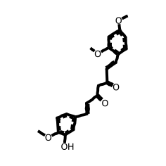 COc1ccc(C=CC(=O)CC(=O)C=Cc2ccc(OC)c(O)c2)c(OC)c1